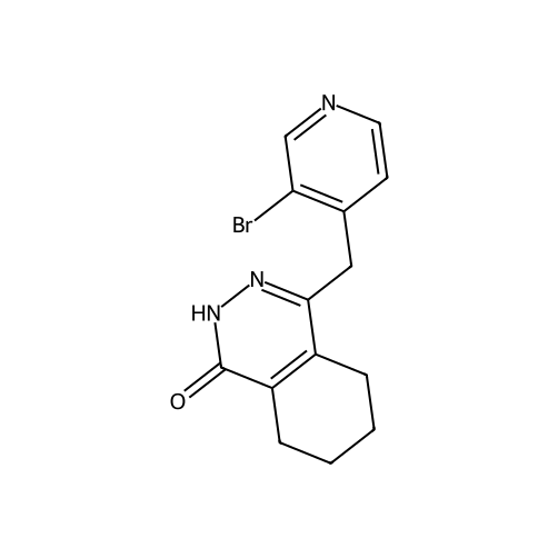 O=c1[nH]nc(Cc2ccncc2Br)c2c1CCCC2